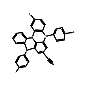 N#Cc1cc2c3c(c1)N(c1ccc(F)cc1)c1ccc(F)cc1B3c1ccccc1N2c1ccc(F)cc1